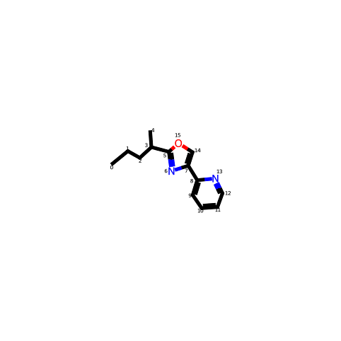 CCCC(C)c1nc(-c2ccccn2)co1